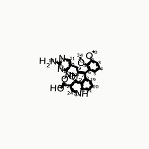 COc1cccc(C(=CCc2cnc(N)nc2N)c2cccc3[nH]cc(C(=O)O)c(=O)c23)c1OC